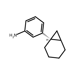 Nc1cccc([C@@]23CCCCC2C3)c1